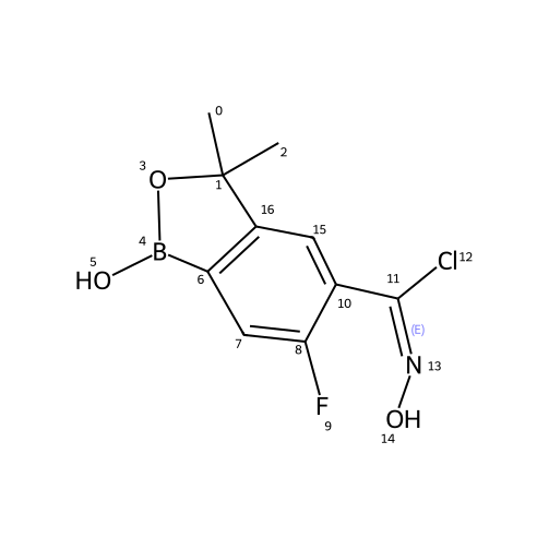 CC1(C)OB(O)c2cc(F)c(/C(Cl)=N\O)cc21